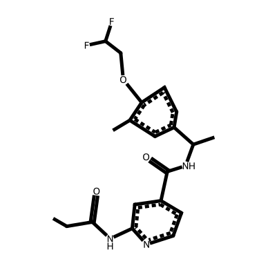 CCC(=O)Nc1cc(C(=O)NC(C)c2ccc(OCC(F)F)c(C)c2)ccn1